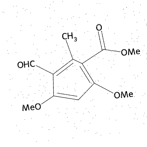 COC(=O)c1c(OC)cc(OC)c(C=O)c1C